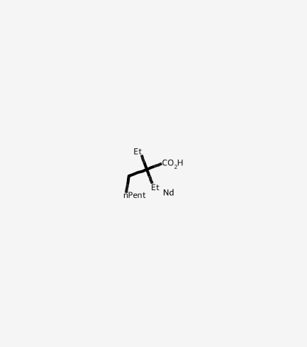 CCCCCCC(CC)(CC)C(=O)O.[Nd]